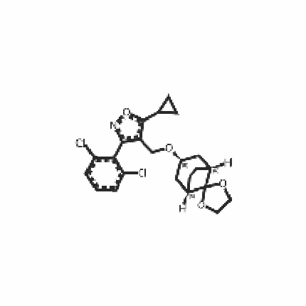 Clc1cccc(Cl)c1-c1noc(C2CC2)c1CO[C@H]1C[C@H]2CC[C@@H](C1)C21OCCO1